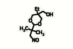 CCC1(CO)COC(C(C)(C)CN=O)OC1